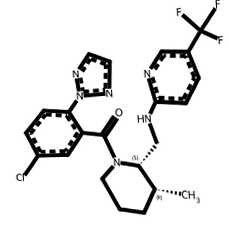 C[C@@H]1CCCN(C(=O)c2cc(Cl)ccc2-n2nccn2)[C@@H]1CNc1ccc(C(F)(F)F)cn1